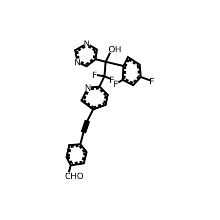 O=Cc1ccc(C#Cc2ccc(C(F)(F)C(O)(c3cncnc3)c3ccc(F)cc3F)nc2)cc1